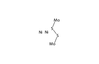 [Mo][S][S][Mo].[Ni].[Ni]